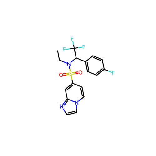 CCN(C(c1ccc(F)cc1)C(F)(F)F)S(=O)(=O)c1ccn2ccnc2c1